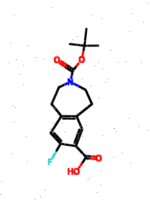 CC(C)(C)OC(=O)N1CCc2cc(F)c(C(=O)O)cc2CC1